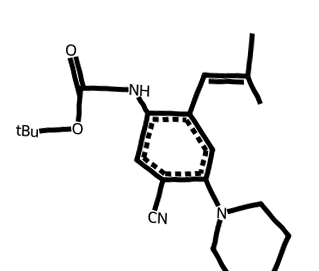 CC(C)=Cc1cc(N2CCNCC2)c(C#N)cc1NC(=O)OC(C)(C)C